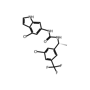 C[C@@H](NC(=O)Nc1cc(Cl)c2cc[nH]c2c1)c1cc(Cl)cc(C(F)(F)F)c1